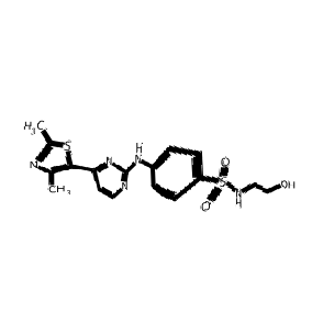 Cc1nc(C)c(-c2ccnc(Nc3ccc(S(=O)(=O)NCCO)cc3)n2)s1